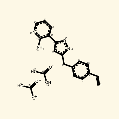 C=Cc1ccc(Cc2cc(-c3cccnc3N)on2)cc1.O=C(O)O.O=C(O)O